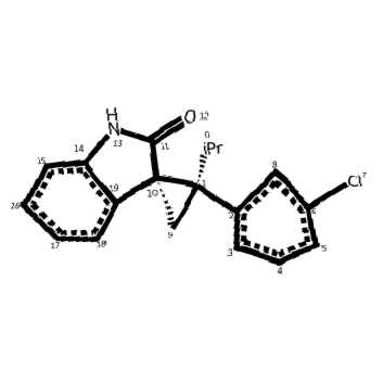 CC(C)[C@]1(c2cccc(Cl)c2)C[C@]12C(=O)Nc1ccccc12